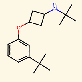 CC(C)(C)NC1CC(Oc2cccc(C(C)(C)C)c2)C1